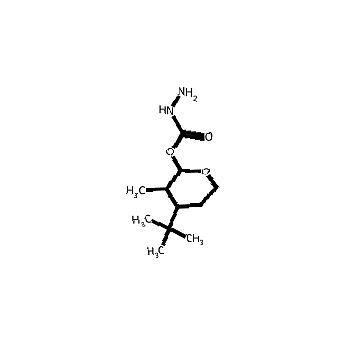 CC1C(OC(=O)NN)OCCC1C(C)(C)C